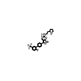 CN1CCCC1CCNc1ncc2c(-c3[c]cc(-c4cc(C(F)(F)F)ccc4F)cc3)nn(C)c2n1